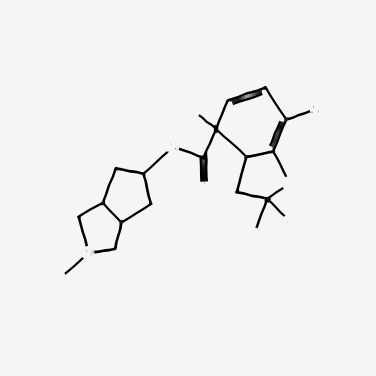 CN1CC2CC(NC(=O)C3(C)C=CC(N)=C4OC(C)(C)CC43)CC2C1